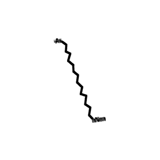 CCCCCCCCCCCCCCCCCCCCCCC[As]